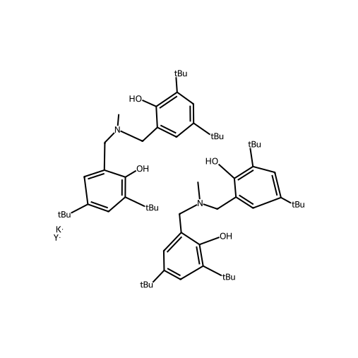 CN(Cc1cc(C(C)(C)C)cc(C(C)(C)C)c1O)Cc1cc(C(C)(C)C)cc(C(C)(C)C)c1O.CN(Cc1cc(C(C)(C)C)cc(C(C)(C)C)c1O)Cc1cc(C(C)(C)C)cc(C(C)(C)C)c1O.[K].[Y]